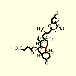 CC[C@@H](NC(=O)C[C@@H](C)[C@H]1CC[C@H]2[C@@H]3[C@H](OC(=O)CCC(=O)O)C[C@@H]4CC(=O)CC[C@]4(C)[C@H]3CC[C@]12C)c1ccc(Cl)s1